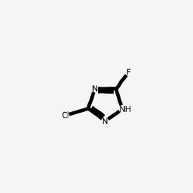 Fc1nc(Cl)n[nH]1